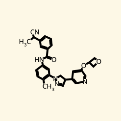 Cc1ccc(NC(=O)c2cccc(C(C)C#N)c2)cc1N1CC(c2cncc(OC3COC3)c2)C=N1